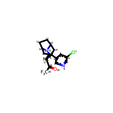 N#CC1(c2cncc(Cl)c2)CC2CCC(C1)N2C=CC(=O)C(F)(F)F